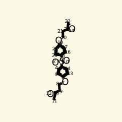 O=S(=O)(c1ccc(OCCC2CO2)cc1)c1ccc(OCCC2CO2)cc1